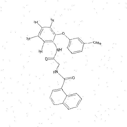 [2H]c1c([2H])c([2H])c(Oc2cccc(OC)c2)c(NC(=O)CNC(=O)c2cccc3ccccc23)c1[2H]